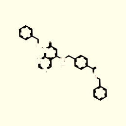 O=C(OCc1ccccc1)c1ccc(CNc2cc(=O)n(OCc3ccccc3)c3ncncc23)cc1